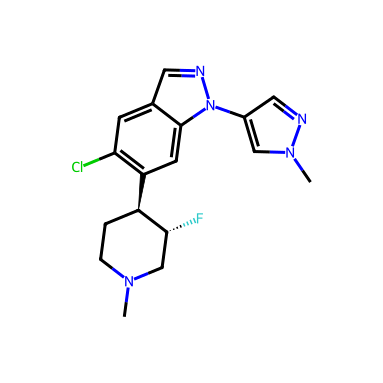 CN1CC[C@@H](c2cc3c(cnn3-c3cnn(C)c3)cc2Cl)[C@H](F)C1